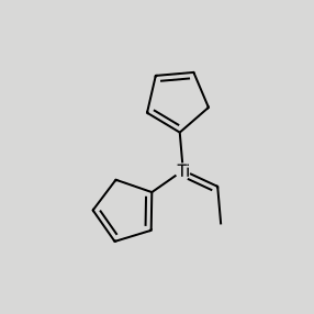 C[CH]=[Ti]([C]1=CC=CC1)[C]1=CC=CC1